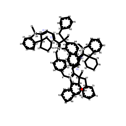 CN1/C(=C/C=C/C2=[N+](Cc3ccc(C[N+]4=C(/C=C/C=C5/N(C)c6ccccc6C56CCCCC6)C(C)(Cc5ccccc5)c5ccc6ccccc6c54)cc3)c3c(ccc4ccccc34)C2(C)Cc2ccccc2)C2(CCCCC2)c2ccccc21